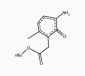 CCCCOC(=O)Cn1c(C)ccc(N)c1=O